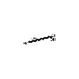 CCC(O)CCCCCCCCC(O)C=CO